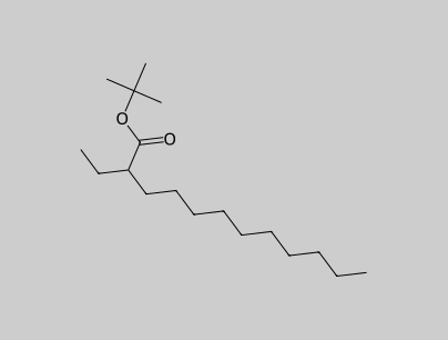 CCCCCCCCCCC(CC)C(=O)OC(C)(C)C